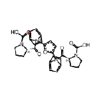 O=C(O)N1CCC[C@H]1C(=O)[N+]1(c2ccc([N+]3(C(=O)[C@@H]4CCCN4C(=O)O)C4=CC=C3C=C4)o2)C2=CC=C1C=C2